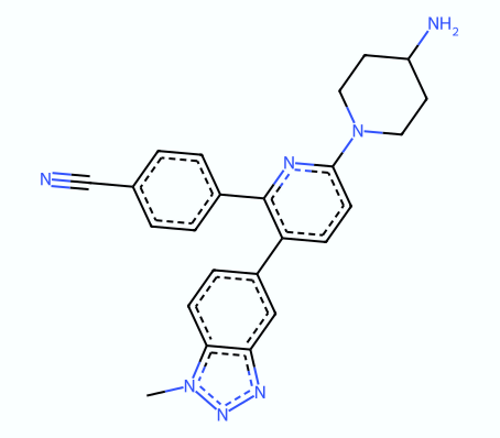 Cn1nnc2cc(-c3ccc(N4CCC(N)CC4)nc3-c3ccc(C#N)cc3)ccc21